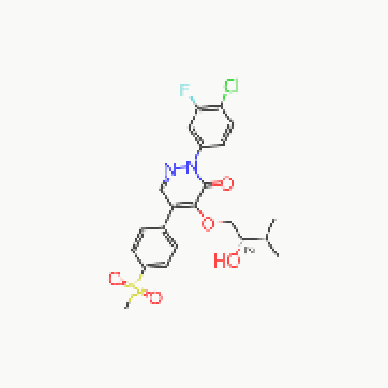 CC(C)[C@H](O)COc1c(-c2ccc(S(C)(=O)=O)cc2)cnn(-c2ccc(Cl)c(F)c2)c1=O